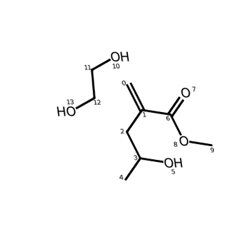 C=C(CC(C)O)C(=O)OC.OCCO